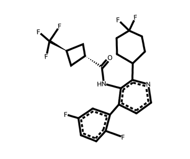 O=C(Nc1c(-c2cc(F)ccc2F)ccnc1C1CCC(F)(F)CC1)[C@H]1C[C@H](C(F)(F)F)C1